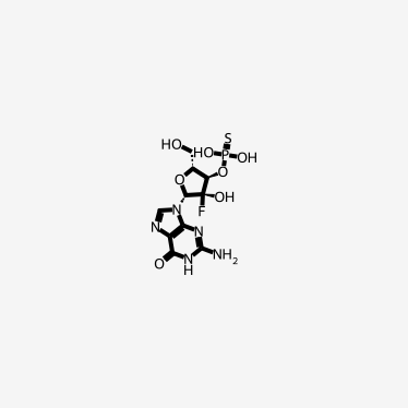 Nc1nc2c(ncn2[C@@H]2O[C@H](CO)[C@@H](OP(O)(O)=S)[C@]2(O)F)c(=O)[nH]1